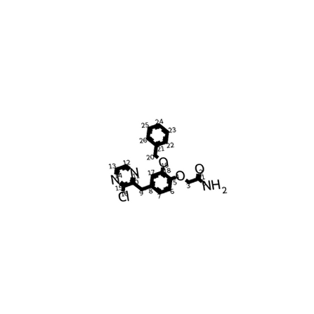 NC(=O)COc1ccc([CH]c2nccnc2Cl)cc1OCc1ccccc1